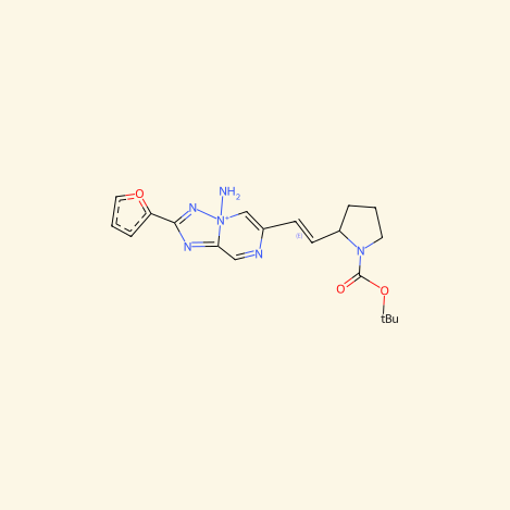 CC(C)(C)OC(=O)N1CCCC1/C=C/C1=C[N+]2(N)N=C(c3ccco3)N=C2C=N1